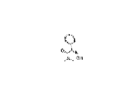 CN(C)C(=O)C(=NO)c1ccccc1